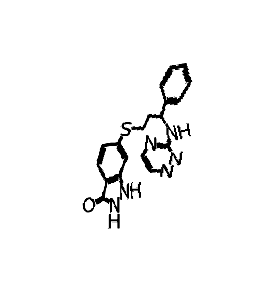 O=c1[nH][nH]c2cc(SCCC(Nc3nccnn3)c3ccccc3)ccc12